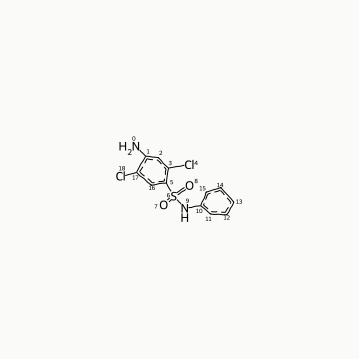 Nc1cc(Cl)c(S(=O)(=O)Nc2ccccc2)cc1Cl